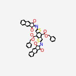 O=C(OCc1ccccc1)c1c2cc(N=c3c(=O)c4cc5ccccc5cc4c3=O)sc2c(C(=O)OCc2ccccc2)c2cc(N=c3c(=O)c4cc5ccccc5cc4c3=O)sc12